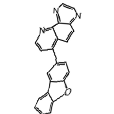 c1ccc2c(c1)oc1ccc(-c3ccnc4c3ccc3nccnc34)cc12